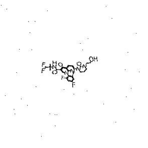 CC(C)(NC(=O)c1cn(-c2c(F)cc(F)cc2F)c2nc(N3CCCN(CCO)C3=O)ccc2c1=O)C(F)F